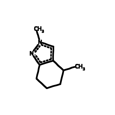 CC1CCCc2nn(C)cc21